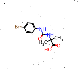 CC(C)(NC(=O)Nc1ccc(Br)cc1)C(=O)O